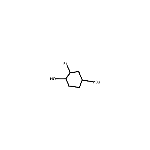 CCCCC1CCC(O)C(CC)C1